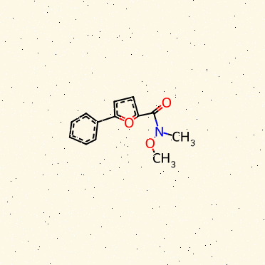 CON(C)C(=O)c1ccc(-c2ccccc2)o1